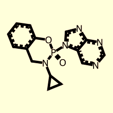 O=P1(n2cnc3ncncc32)Oc2ccccc2CN1C1CC1